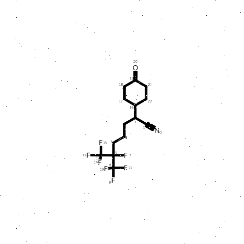 N#CC(CCCC(F)(C(F)(F)F)C(F)(F)F)C1CCC(=O)CC1